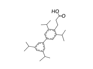 CC(C)c1cc(-c2cc(C(C)C)c(CCC(=O)O)c(C(C)C)c2)cc(C(C)C)c1